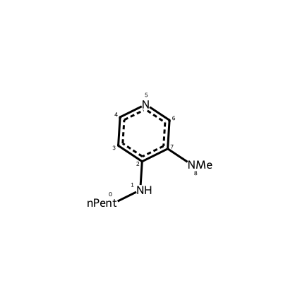 CCCCCNc1ccncc1NC